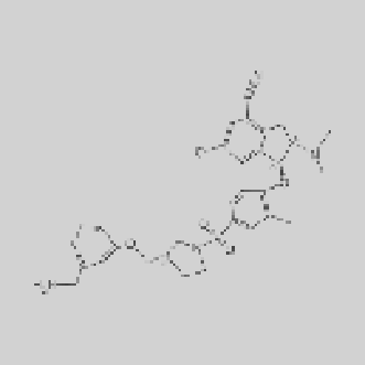 Cc1cc(S(=O)(=O)N2CC[C@H](COc3ccnc(CN)c3)C2)ccc1O[C@H]1c2cc(Cl)cc(C#N)c2C[C@@H]1N(C)C